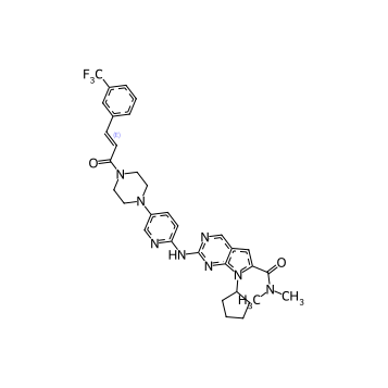 CN(C)C(=O)c1cc2cnc(Nc3ccc(N4CCN(C(=O)/C=C/c5cccc(C(F)(F)F)c5)CC4)cn3)nc2n1C1CCCC1